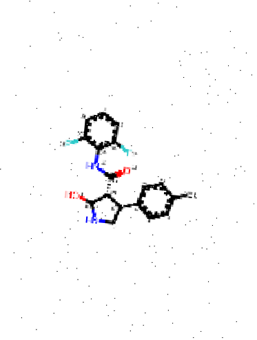 CCc1ccc([C@H]2CNC(O)[C@@H]2C(=O)Nc2c(F)cccc2F)cc1